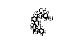 CC(C(=O)Nc1cccc2c(=O)n(C(C(N)=O)c3ccccc3)ccc12)c1ccc(Cl)cc1